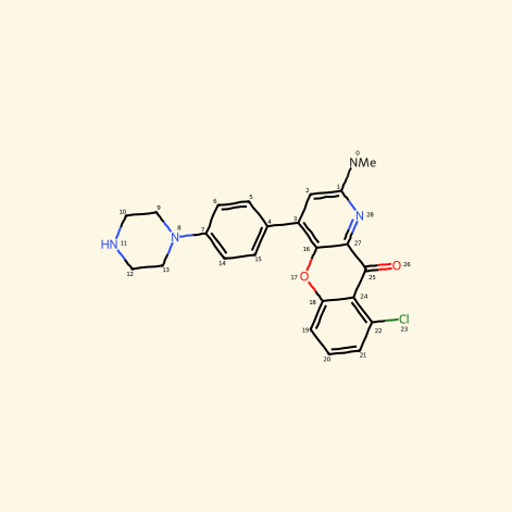 CNc1cc(-c2ccc(N3CCNCC3)cc2)c2oc3cccc(Cl)c3c(=O)c2n1